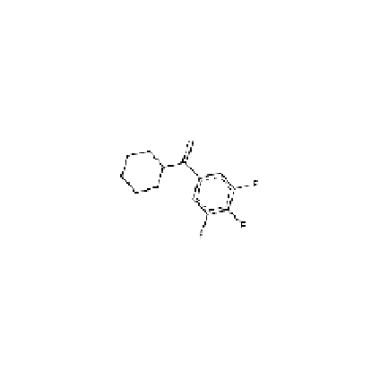 C=C(c1cc(F)c(F)c(F)c1)C1CCCCC1